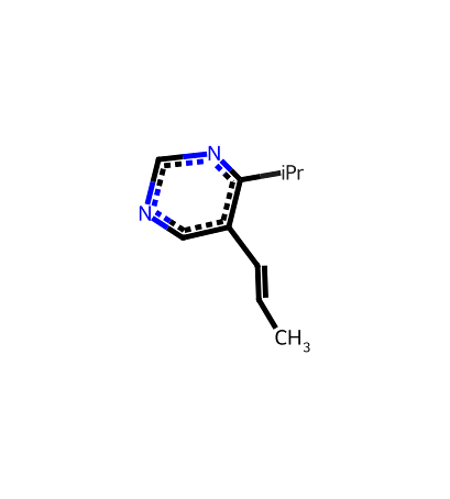 C/C=C/c1cncnc1C(C)C